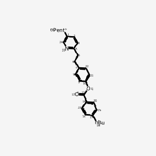 CCCCCc1ccc(CCc2ccc(OC(=O)c3ccc(CCCC)cc3)cc2)nc1